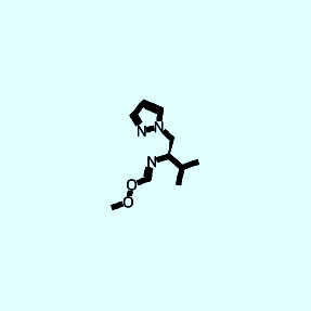 COO/C=N/[C@@H](Cn1cccn1)C(C)C